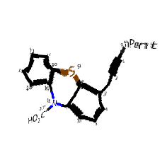 CCCCCC#Cc1cccc2c1Sc1ccccc1N2C(=O)O